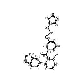 CC1N=CC=C(c2ccc3ncsc3c2)N1C(C)c1cccc(OCCn2ccnc2)c1